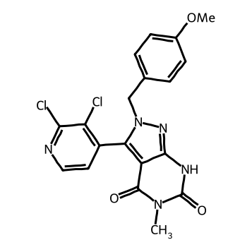 COc1ccc(Cn2nc3[nH]c(=O)n(C)c(=O)c3c2-c2ccnc(Cl)c2Cl)cc1